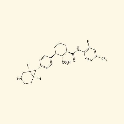 O=C(O)[C@@H]1[C@@H](c2ccc([C@H]3[C@@H]4CNCC[C@@H]43)cc2)CCC[C@H]1C(=O)Nc1ccc(C(F)(F)F)cc1F